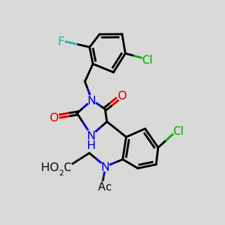 CC(=O)N(CC(=O)O)c1ccc(Cl)cc1C1NC(=O)N(Cc2cc(Cl)ccc2F)C1=O